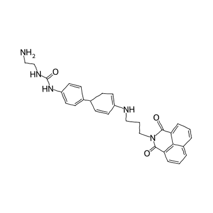 NCCNC(=O)Nc1ccc(C2C=CC(NCCCN3C(=O)c4cccc5cccc(c45)C3=O)=CC2)cc1